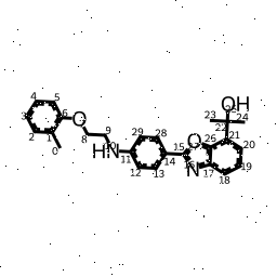 Cc1ccccc1OCCNc1ccc(-c2nc3cccc(C(C)(C)O)c3o2)cc1